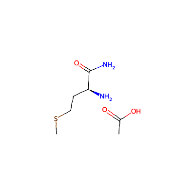 CC(=O)O.CSCC[C@H](N)C(N)=O